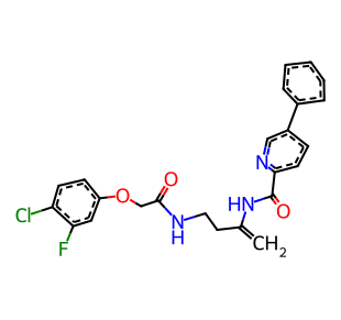 C=C(CCNC(=O)COc1ccc(Cl)c(F)c1)NC(=O)c1ccc(-c2ccccc2)cn1